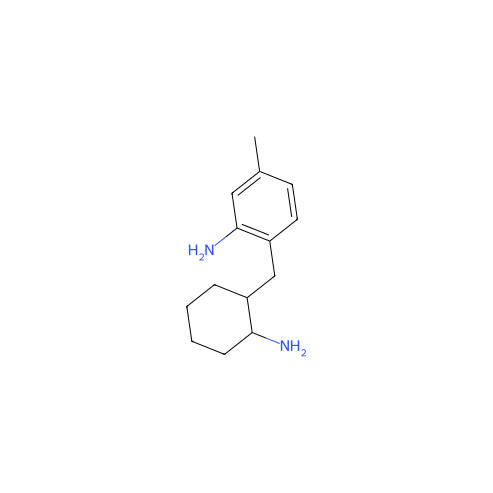 Cc1ccc(CC2CCCCC2N)c(N)c1